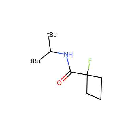 CC(C)(C)C(NC(=O)C1(F)CCC1)C(C)(C)C